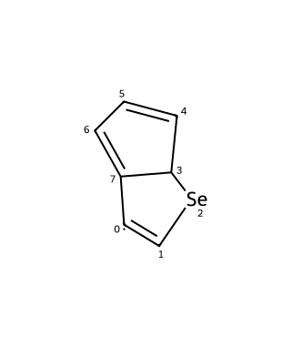 [C]1=C[Se]C2C=CC=C12